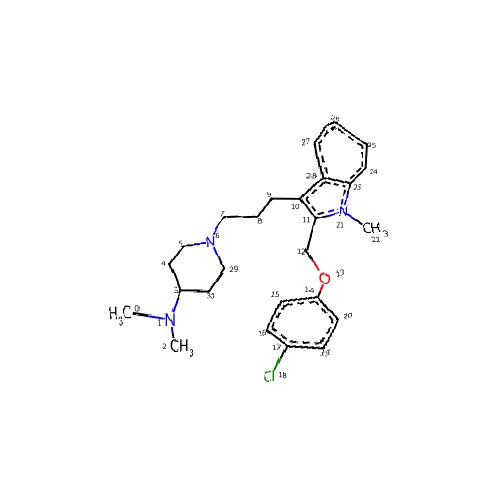 CN(C)C1CCN(CCCc2c(COc3ccc(Cl)cc3)n(C)c3ccccc23)CC1